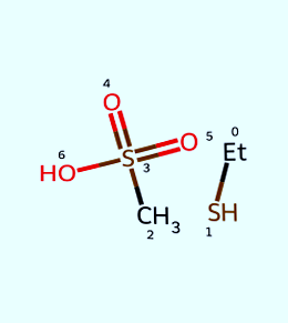 CCS.CS(=O)(=O)O